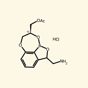 CC(=O)OC[C@@H]1COc2cccc3c2B(OC3CN)O1.Cl